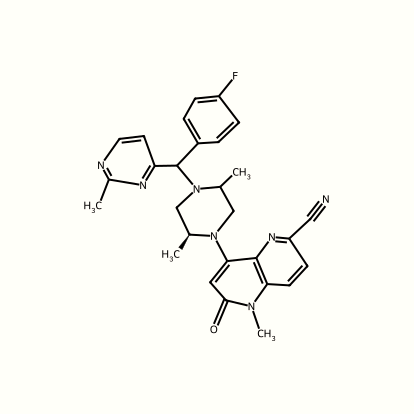 Cc1nccc(C(c2ccc(F)cc2)N2C[C@H](C)N(c3cc(=O)n(C)c4ccc(C#N)nc34)CC2C)n1